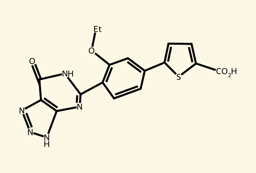 CCOc1cc(-c2ccc(C(=O)O)s2)ccc1-c1nc2[nH]nnc2c(=O)[nH]1